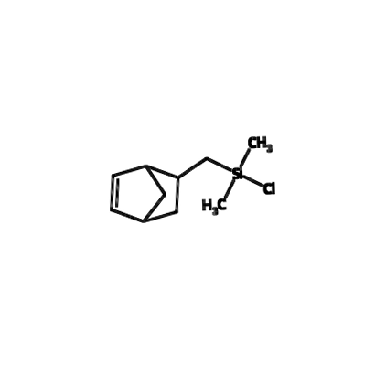 C[Si](C)(Cl)CC1CC2C=CC1C2